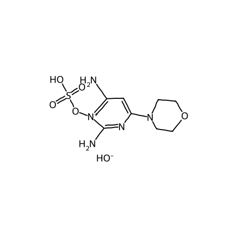 Nc1cc(N2CCOCC2)nc(N)[n+]1OS(=O)(=O)O.[OH-]